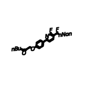 CCCCCCCCCC(F)c1ccc(-c2ccc(OCC3OC3CCCC)cc2)nc1F